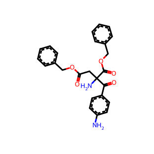 Nc1ccc(C(=O)C(N)(CC(=O)OCc2ccccc2)C(=O)OCc2ccccc2)cc1